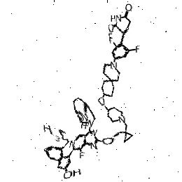 CCc1cccc2cc(O)cc(-c3ncc4c(N5CC6CCC(C5)N6)nc(OCC5(CN6CCC(OC7CCC8(CC7)CCN(c7cc(F)c(C9CCC(=O)NC9=O)c(F)c7)CC8)CC6)CC5)nc4c3F)c12